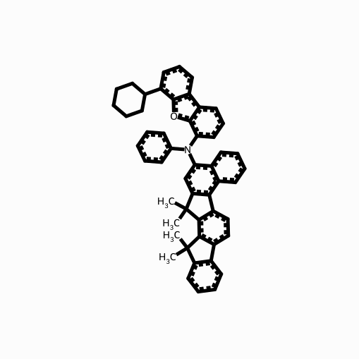 CC1(C)c2ccccc2-c2ccc3c(c21)C(C)(C)c1cc(N(c2ccccc2)c2cccc4c2oc2c(C5CCCCC5)cccc24)c2ccccc2c1-3